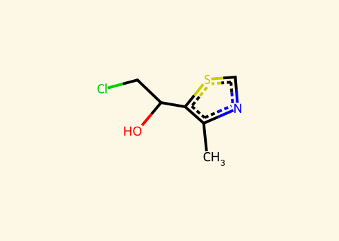 Cc1ncsc1C(O)CCl